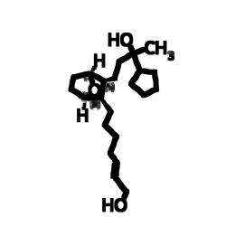 CC(O)(CC[C@H]1[C@@H](CCCCC=CCO)[C@H]2CC[C@@H]1O2)C1CCCC1